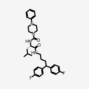 CC(C)C[C@H](NC(=O)N1CCN(c2ccccc2)CC1)C(=O)NCCCC(c1ccc(F)cc1)c1ccc(F)cc1